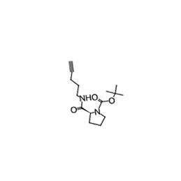 C#CCCCNC(=O)[C@@H]1CCCN1C(=O)OC(C)(C)C